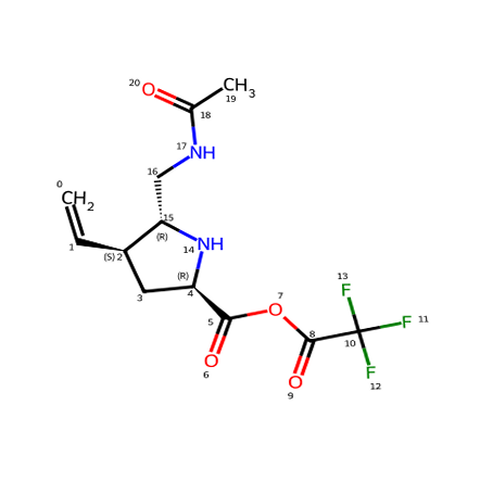 C=C[C@@H]1C[C@H](C(=O)OC(=O)C(F)(F)F)N[C@H]1CNC(C)=O